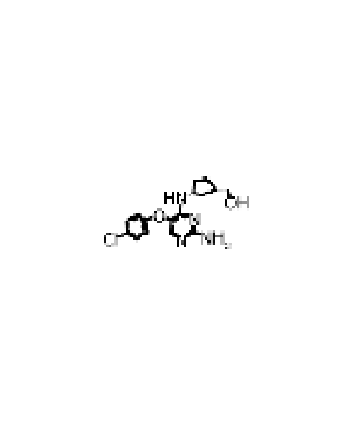 Nc1ncc(Oc2ccc(Cl)cc2)c(N[C@@H]2CC[C@H](CO)C2)n1